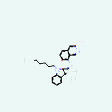 CCCCCCN1c2ccccc2C(C)(C)C12C=Nc1c(ccc3cc(O)ncc13)O2